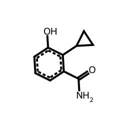 NC(=O)c1cccc(O)c1C1CC1